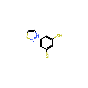 Sc1cccc(S)c1.c1csnn1